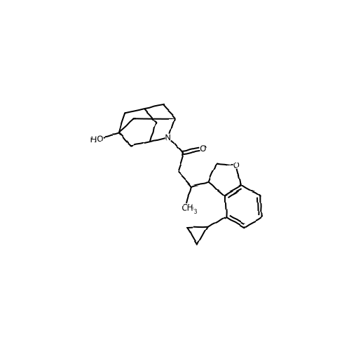 CC(CC(=O)N1C2CC3CC1CC(O)(C3)C2)C1COc2cccc(C3CC3)c21